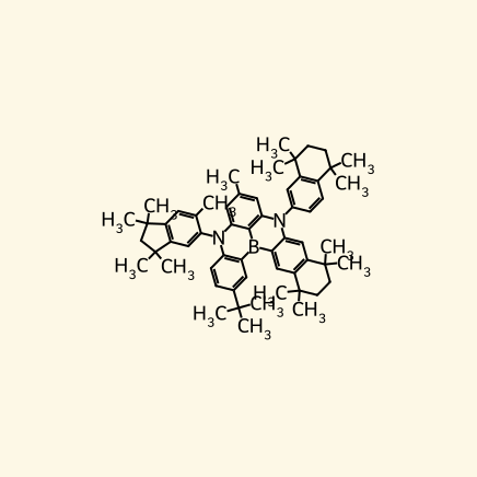 Cc1cc2c3c(c1)N(c1cc4c(cc1C)C(C)(C)CC4(C)C)c1ccc(C(C)(C)C)cc1B3c1cc3c(cc1N2c1ccc2c(c1)C(C)(C)CCC2(C)C)C(C)(C)CCC3(C)C